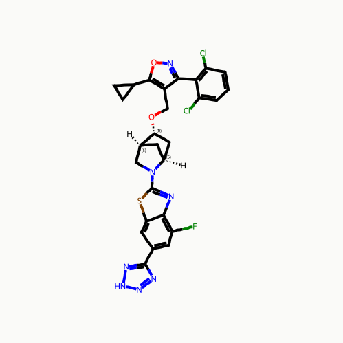 Fc1cc(-c2nn[nH]n2)cc2sc(N3C[C@@H]4C[C@H]3C[C@H]4OCc3c(-c4c(Cl)cccc4Cl)noc3C3CC3)nc12